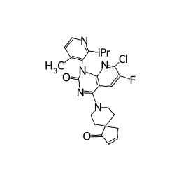 Cc1ccnc(C(C)C)c1-n1c(=O)nc(N2CCC3(CC=CC3=O)CC2)c2cc(F)c(Cl)nc21